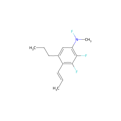 CC=Cc1c(CCC)cc(N(C)F)c(F)c1F